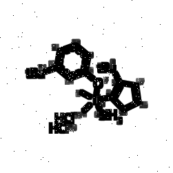 CC(C)(C)C1=[C]([Ti]([CH3])([CH3])([SiH3])[O]c2cccc(C(C)(C)C)c2)CC=C1.Cl.Cl